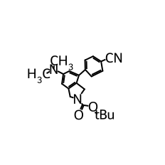 CN(C)c1cc2c(c(-c3ccc(C#N)cc3)c1)CN(C(=O)OC(C)(C)C)C2